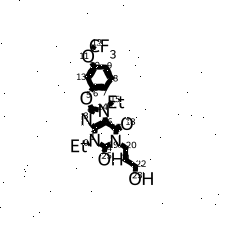 CCN1c2nc(Oc3cccc(OC(F)(F)F)c3)n(CC)c2C(=O)N(CCCO)C1O